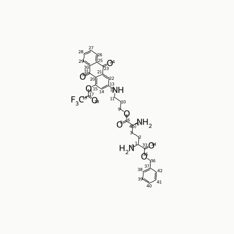 NC(CC[C@H](N)C(=O)OCCCNc1cc(OC(=O)C(F)(F)F)c2c(c1)C(=O)c1ccccc1C2=O)C(=O)OCc1ccccc1